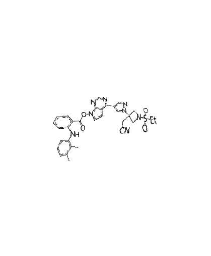 CCS(=O)(=O)N1CC(CC#N)(n2cc(-c3ncnc4c3ccn4OC(=O)c3ccccc3Nc3cccc(C)c3C)cn2)C1